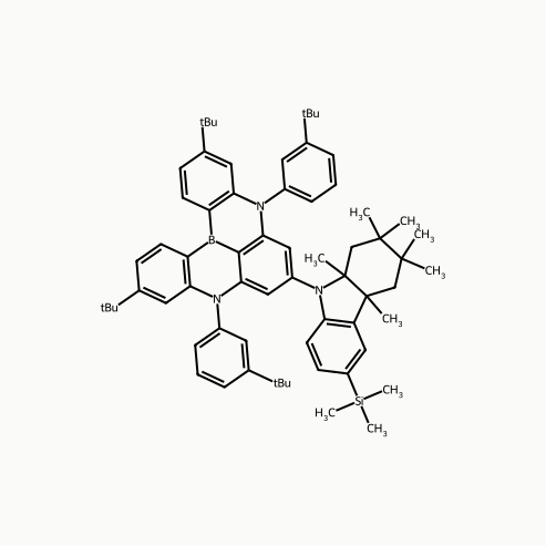 CC(C)(C)c1cccc(N2c3cc(C(C)(C)C)ccc3B3c4ccc(C(C)(C)C)cc4N(c4cccc(C(C)(C)C)c4)c4cc(N5c6ccc([Si](C)(C)C)cc6C6(C)CC(C)(C)C(C)(C)CC56C)cc2c43)c1